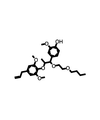 C=CCc1cc(OC)c(OC(C)C(OCCOCCCC)c2ccc(O)c(OC)c2)c(OC)c1